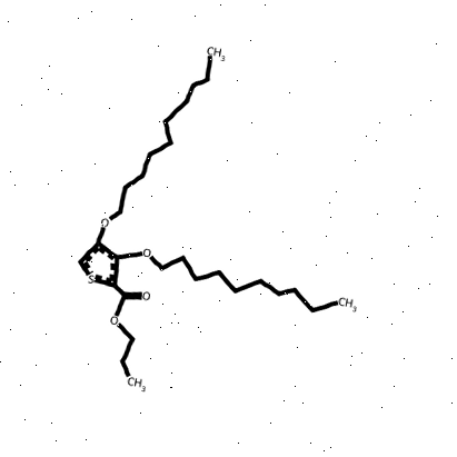 CCCCCCCCCCOc1csc(C(=O)OCCC)c1OCCCCCCCCCC